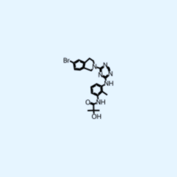 Cc1c(NC(=O)C(C)(C)O)cccc1Nc1ncnc(N2CCc3cc(Br)ccc3C2)n1